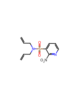 C=CCN(CC=C)S(=O)(=O)c1cccnc1[N+](=O)[O-]